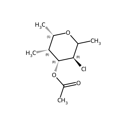 CC(=O)O[C@@H]1[C@H](C)[C@H](C)OC(C)[C@H]1Cl